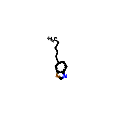 [CH2]CCCCc1ccc2ncsc2c1